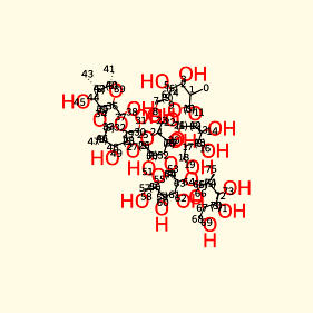 CC1C(O)[C@H](O)[C@H](CO)O[C@H]1O[C@@H]1C(O)[C@H](O)C(CO)O[C@@H]1OCC1O[C@@H](O[C@@H]2C(CO)O[C@@H](O[C@@H]3C(CO)O[C@@H](C)[C@@H](C)C3O)[C@@H](C)C2O)[C@H](O)C(O[C@H]2O[C@H](CO)[C@@H](O)C(O)C2O[C@@H]2OC(CO)[C@@H](O)C(O)[C@@H]2C)[C@@H]1O